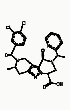 CC(c1ccccn1)N1C[C@@H](C(=O)O)n2nc3c(c2C1=O)CN(C(=O)c1ccc(Cl)c(Cl)c1)[C@H](C)C3